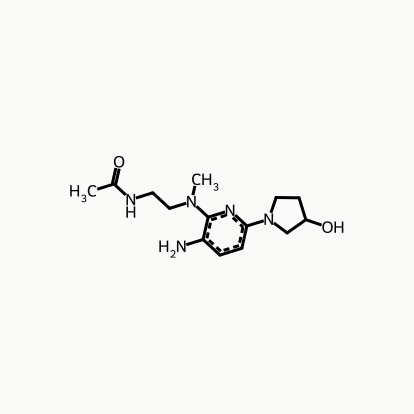 CC(=O)NCCN(C)c1nc(N2CCC(O)C2)ccc1N